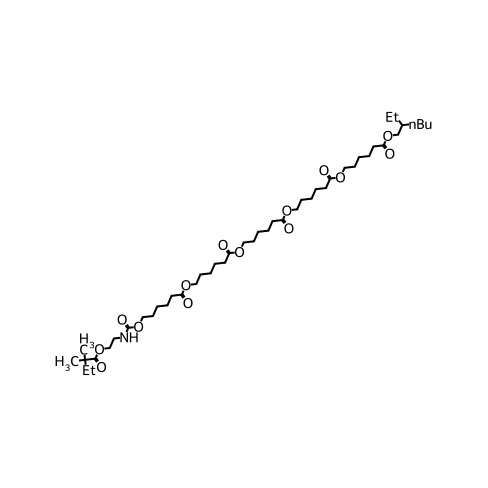 CCCCC(CC)COC(=O)CCCCCOC(=O)CCCCCOC(=O)CCCCCOC(=O)CCCCCOC(=O)CCCCCOC(=O)NCCOC(=O)C(C)(C)CC